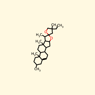 CCC1(C)COC2(C1)OC1CC3C4CC=C5CC(C)CCC5(C)C4CCC3(C)C1C2C